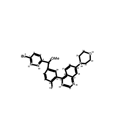 CCC(C)c1ccc(C(OC)c2ccc(F)c(-c3ncnc4cc(N5CCOCC5)ccc34)c2)nn1